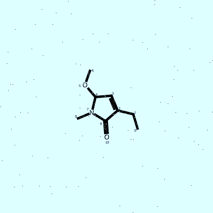 CCC1=CC(OC)N(C)C1=O